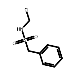 O=S(=O)(Cc1ccccc1)NCCl